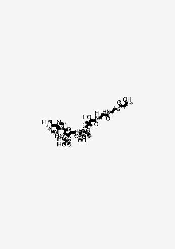 C[C@@H](O)CC(=O)SCCNC(=O)CCNC(=O)C(O)C(C)(C)COP(=O)(O)OP(=O)(O)OCC1OC(n2cnc3c(N)ncnc32)C(O)C1OP(=O)(O)O